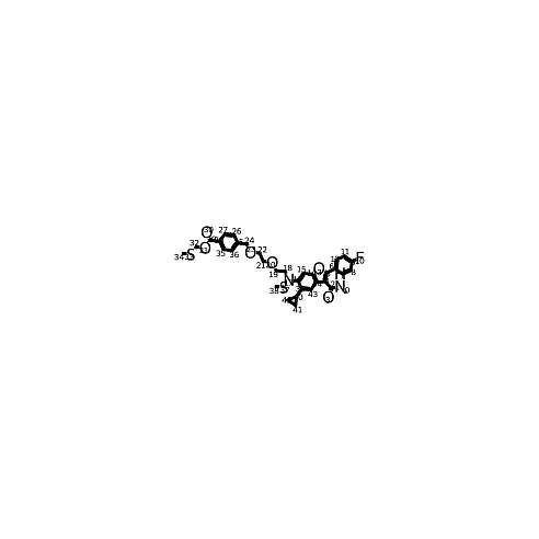 CNC(=O)c1c(-c2ccc(F)cc2)oc2cc(N(CCOCCOCc3ccc(C(=O)OCSC)cc3)SC)c(C3CC3)cc12